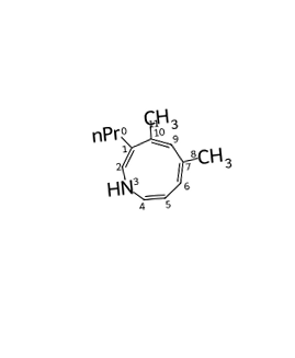 CCCc1c[nH]cccc(C)cc1C